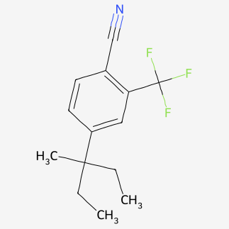 CCC(C)(CC)c1ccc(C#N)c(C(F)(F)F)c1